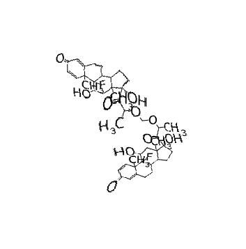 CC(OCOC(C)C(=O)C1(O)CCC2C3CCC4=CC(=O)C=CC4(C)C3(F)C(O)CC21C)C(=O)C1(O)CCC2C3CCC4=CC(=O)C=CC4(C)C3(F)C(O)CC21C